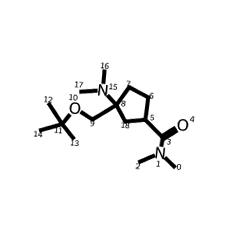 CN(C)C(=O)C1CCC(COC(C)(C)C)(N(C)C)C1